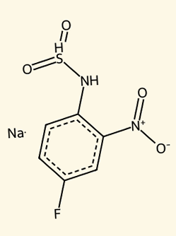 O=[N+]([O-])c1cc(F)ccc1N[SH](=O)=O.[Na]